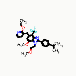 CCOc1ncccc1Cc1cc(OC)c2c(nc(-c3ccc(C(C)C)cc3)n2CCOC)c1C(F)(F)F